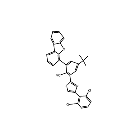 CC(C)(C)c1cc(-c2nc(-c3c(Cl)cccc3Cl)cs2)c(O)c(-c2cccc3c2oc2ccccc23)c1